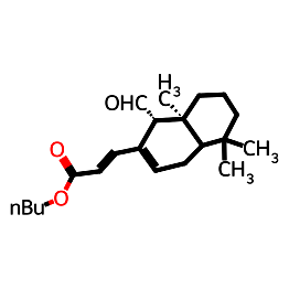 CCCCOC(=O)/C=C/C1=CCC2C(C)(C)CCC[C@]2(C)[C@H]1C=O